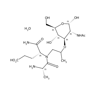 CC(=O)N[C@@H]1[C@@H](OC(C)CN(C(=O)[C@H](C)N)[C@H](CCC(=O)O)C(N)=O)[C@H](O)[C@@H](CO)O[C@@H]1O.O